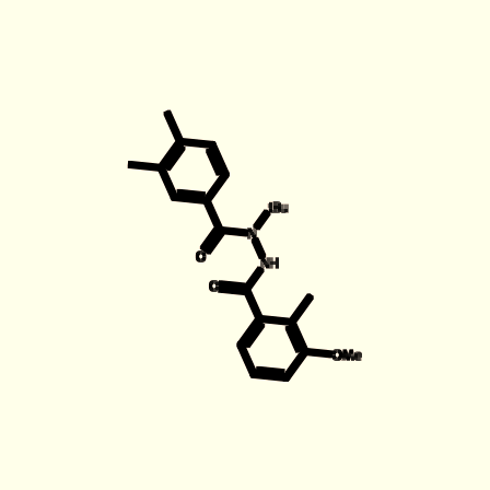 COc1cccc(C(=O)NN(C(=O)c2ccc(C)c(C)c2)C(C)(C)C)c1C